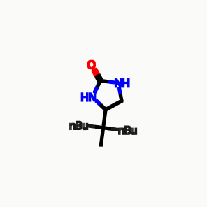 CCCCC(C)(CCCC)C1CNC(=O)N1